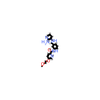 COCCOc1ccc(C(=O)Nc2cccc(CNc3cccnc3N)c2)nc1